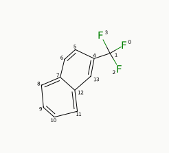 FC(F)(F)c1ccc2ccccc2c1